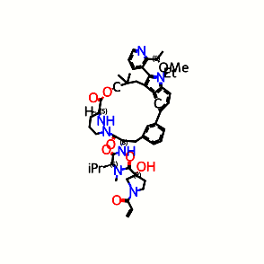 C=CC(=O)N1CC[C@](O)(C(=O)N(C)[C@H](C(=O)N[C@H]2Cc3cccc(c3)-c3ccc4c(c3)c(c(-c3cccnc3[C@H](C)OC)n4CC)CC(C)(C)COC(=O)[C@@H]3CCCN(N3)C2=O)C(C)C)C1